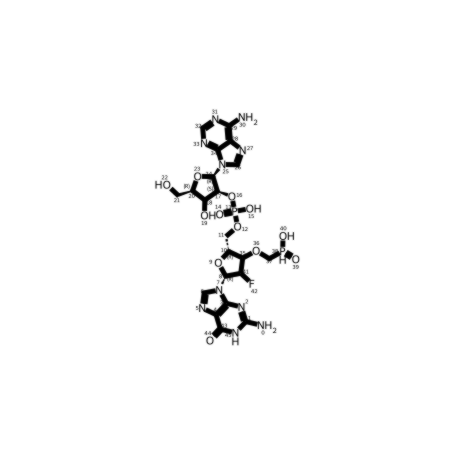 Nc1nc2c(ncn2[C@@H]2O[C@H](COP(=O)(O)O[C@H]3C(O)[C@@H](CO)O[C@H]3n3cnc4c(N)ncnc43)C(OC[PH](=O)O)C2F)c(=O)[nH]1